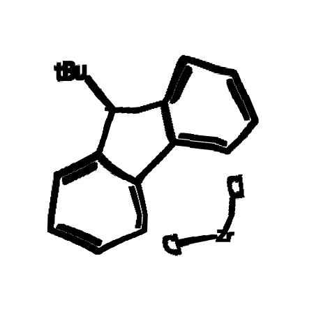 CC(C)(C)[C]1c2ccccc2-c2ccccc21.[Cl][Zr][Cl]